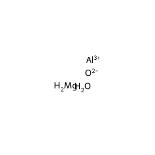 O.[Al+3].[MgH2].[O-2]